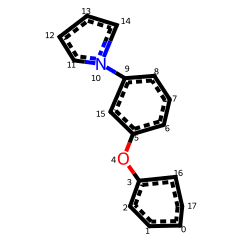 c1ccc(Oc2cccc(-n3cccc3)c2)cc1